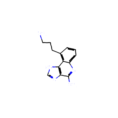 NCCCc1cccc2nc(N)c3nc[nH]c3c12